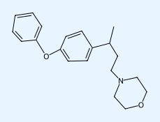 CC(CCN1CCOCC1)c1ccc(Oc2ccccc2)cc1